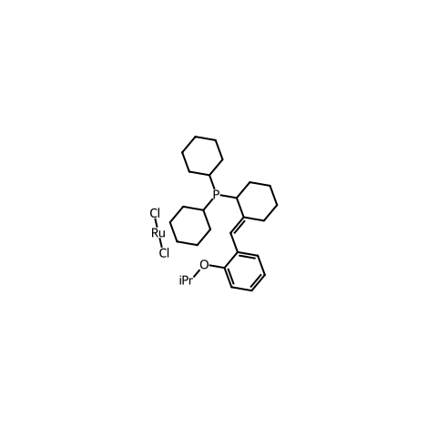 CC(C)Oc1ccccc1C=C1CCCCC1P(C1CCCCC1)C1CCCCC1.[Cl][Ru][Cl]